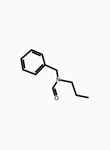 CCCN(C=O)Cc1ccccc1